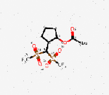 CCC(C)C(=O)OC1CCCC1C(S(=O)(=O)C(F)(F)F)S(=O)(=O)C(F)(F)F